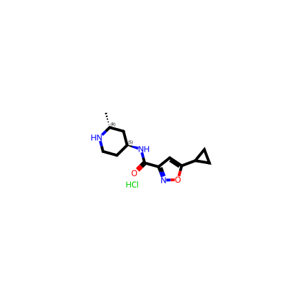 C[C@@H]1C[C@@H](NC(=O)c2cc(C3CC3)on2)CCN1.Cl